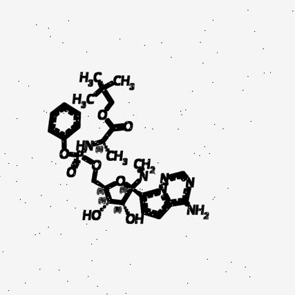 C=N[C@@]1(c2ccc3c(N)ncnn23)O[C@H](COP(=O)(N[C@@H](C)C(=O)OCC(C)(C)C)Oc2ccccc2)[C@@H](O)[C@H]1O